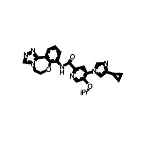 CC(C)Oc1cnc(C(=O)Nc2cccc3c2OCCn2cnnc2-3)cc1-n1cnc(C2CC2)c1